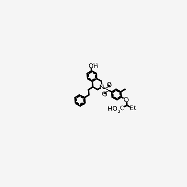 CCC(Oc1ccc(S(=O)(=O)N2Cc3cc(O)ccc3C(CCc3ccccc3)C2)cc1C)C(=O)O